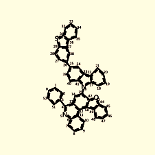 c1ccc(-c2nc3ccccc3c3c2cc(-n2c4ccccc4c4cc(-c5ccc6sc7ccccc7c6c5)ccc42)c2oc4ccccc4c23)cc1